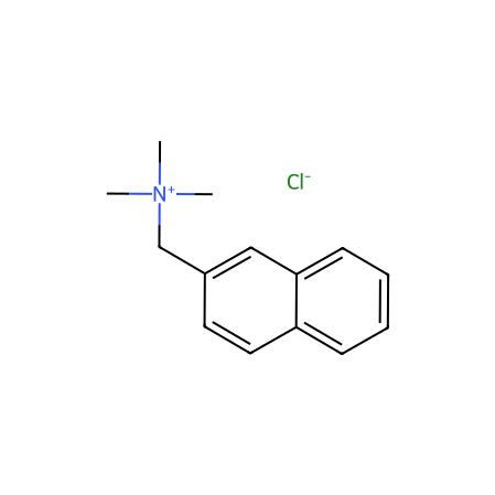 C[N+](C)(C)Cc1ccc2ccccc2c1.[Cl-]